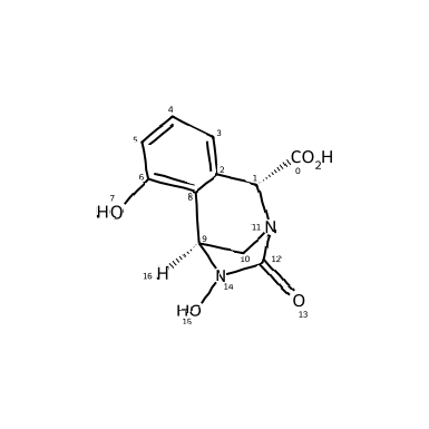 O=C(O)[C@H]1c2cccc(O)c2[C@H]2CN1C(=O)N2O